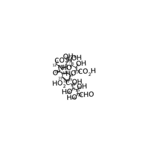 O=C(O)C(O)C(O)C(O)C(O)CO.O=C(O)CNC(=O)c1ccccc1.O=CC(O)C(O)C(O)C(O)C(=O)O